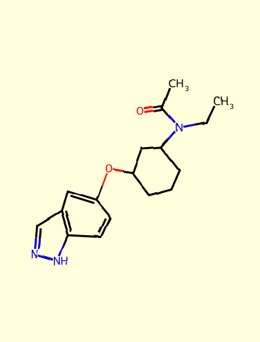 CCN(C(C)=O)C1CCCC(Oc2ccc3[nH]ncc3c2)C1